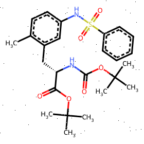 Cc1ccc(NS(=O)(=O)c2ccccc2)cc1C[C@H](NC(=O)OC(C)(C)C)C(=O)OC(C)(C)C